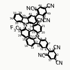 N#Cc1cc(C#N)c(-c2ccc3c(c2)c2ccccc2n3-c2ccc(C#N)cc2-c2cccc(C(F)(F)F)c2-n2c3ccccc3c3cc(-c4c(C#N)cc(C#N)cc4C#N)ccc32)c(C#N)c1